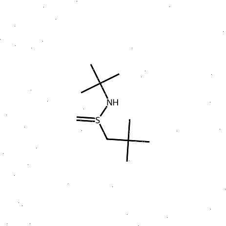 C=S(CC(C)(C)C)NC(C)(C)C